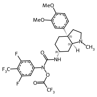 COc1ccc([C@@]23CC[C@@H](NC(=O)N(OC(=O)C(F)(F)F)c4cc(F)c(C(F)(F)F)c(F)c4)C[C@@H]2N(C)CC3)cc1OC